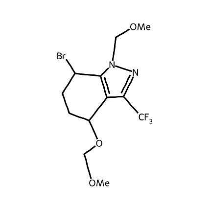 COCOC1CCC(Br)c2c1c(C(F)(F)F)nn2COC